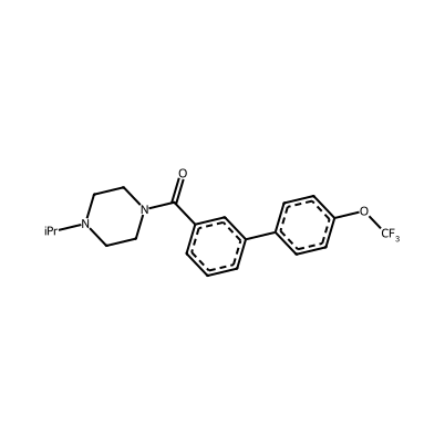 CC(C)N1CCN(C(=O)c2cccc(-c3ccc(OC(F)(F)F)cc3)c2)CC1